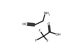 C#CCN.O=C(O)C(F)(F)F